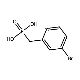 O=P(O)(O)Cc1[c]ccc(Br)c1